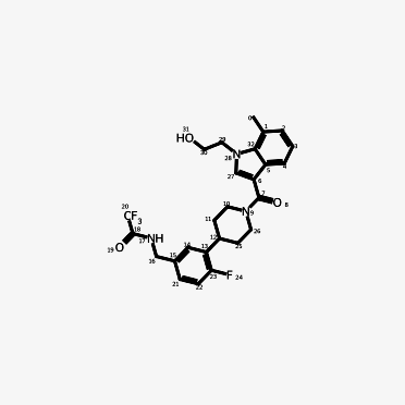 Cc1cccc2c(C(=O)N3CCC(c4cc(CNC(=O)C(F)(F)F)ccc4F)CC3)cn(CCO)c12